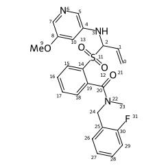 C=CC(Nc1cncc(OC)c1)S(=O)(=O)c1ccccc1C(=O)N(C)Cc1ccccc1F